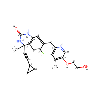 N#Cc1cc(Cc2cc3c(cc2F)C(C#CC2CC2)(C(F)(F)F)NC(=O)N3)ncc1OCCO